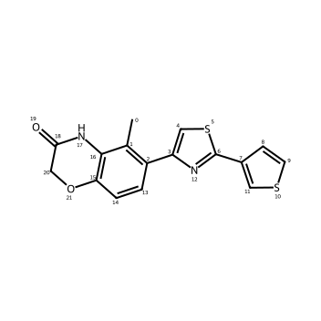 Cc1c(-c2csc(-c3ccsc3)n2)ccc2c1NC(=O)CO2